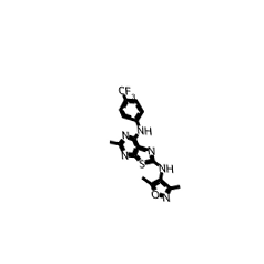 Cc1nc(Nc2ccc(C(F)(F)F)cc2)c2nc(Nc3c(C)noc3C)sc2n1